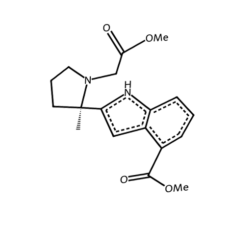 COC(=O)CN1CCC[C@]1(C)c1cc2c(C(=O)OC)cccc2[nH]1